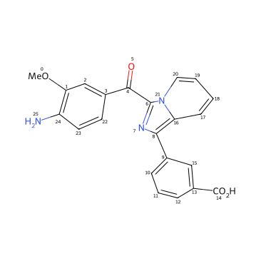 COc1cc(C(=O)c2nc(-c3cccc(C(=O)O)c3)c3ccccn23)ccc1N